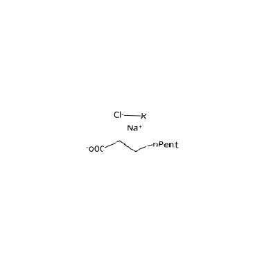 CCCCCCCC(=O)[O-].[Cl][K].[Na+]